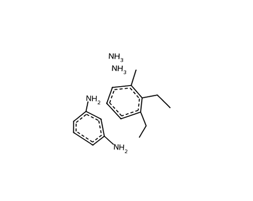 CCc1cccc(C)c1CC.N.N.Nc1cccc(N)c1